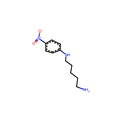 NCCCCCNc1ccc([N+](=O)[O-])cc1